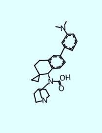 CN(C)c1cccc(-c2ccc3c(c2)CCC2(CC2)[C@@H]3N(C(=O)O)C2CN3CCC2CC3)c1